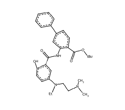 CCN(CCN(C)C)c1ccc(O)c(C(=O)Nc2cc(-c3ccccc3)ccc2C(=O)OC(C)(C)C)c1